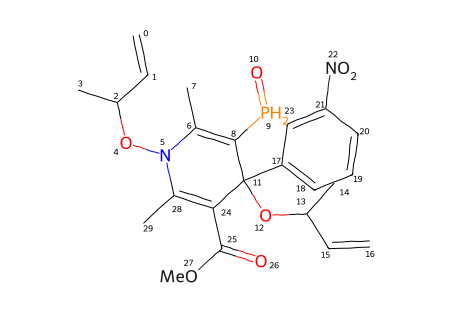 C=CC(C)ON1C(C)=C([PH2]=O)C(OC(C)C=C)(c2cccc([N+](=O)[O-])c2)C(C(=O)OC)=C1C